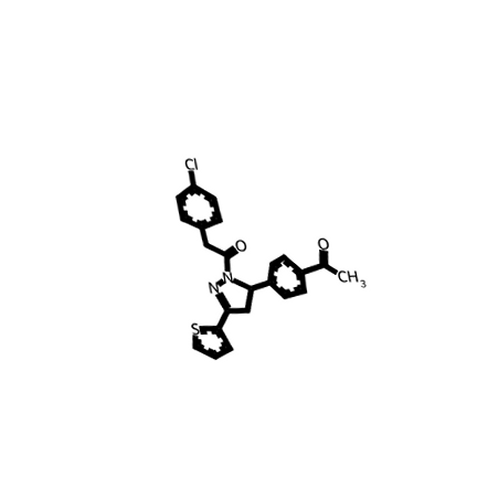 CC(=O)c1ccc(C2CC(c3cccs3)=NN2C(=O)Cc2ccc(Cl)cc2)cc1